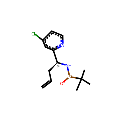 C=CC[C@H](N[S+]([O-])C(C)(C)C)c1cc(Cl)ccn1